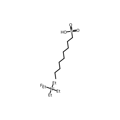 CCCCCCCCCS(=O)(=O)O.CC[N+](CC)(CC)CC.[F-]